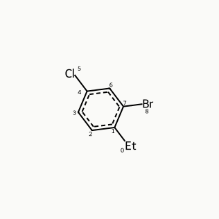 [CH2-][CH+]c1ccc(Cl)cc1Br